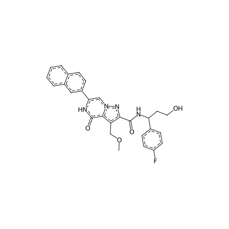 COCc1c(C(=O)NC(CCO)c2ccc(F)cc2)nn2cc(-c3ccc4ccccc4c3)[nH]c(=O)c12